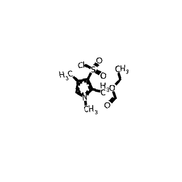 CCOC=O.Cc1cn(C)c(C)c1S(=O)(=O)Cl